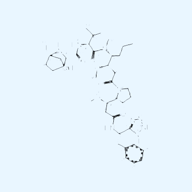 CC[C@H](C)[C@@H]([C@@H](CC(=O)N1CCC[C@H]1[C@H](OC)[C@@H](C)C(=O)N[C@@H](Cc1ccccc1)C1=NNNN1)OC)N(C)C(=O)[C@@H](NC(=O)[C@H]1N[C@@H]2CC[C@H]1C2)C(C)C